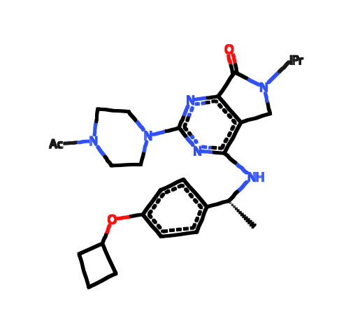 CC(=O)N1CCN(c2nc(N[C@H](C)c3ccc(OC4CCC4)cc3)c3c(n2)C(=O)N(C(C)C)C3)CC1